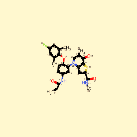 C=CC(=O)Nc1ccc(Oc2c(C)cc(F)cc2C)c(-n2cc(C)c(=O)c3sc(C(=O)NCC)cc32)c1